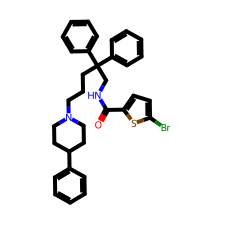 O=C(NCC(CCCN1CCC(c2ccccc2)CC1)(c1ccccc1)c1ccccc1)c1ccc(Br)s1